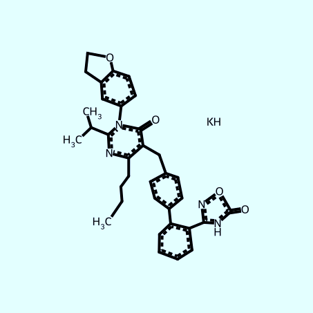 CCCCc1nc(C(C)C)n(-c2ccc3c(c2)CCO3)c(=O)c1Cc1ccc(-c2ccccc2-c2noc(=O)[nH]2)cc1.[KH]